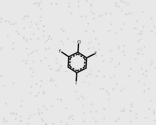 Fc1cc(I)cc(F)c1Cl